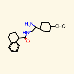 NC(CNC(=O)C1CCCc2ccccc21)C1CCC(C=O)CC1